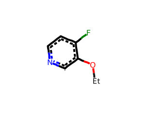 CCOc1[c]nccc1F